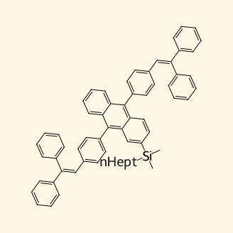 CCCCCCC[Si](C)(C)c1ccc2c(-c3ccc(C=C(c4ccccc4)c4ccccc4)cc3)c3ccccc3c(-c3ccc(C=C(c4ccccc4)c4ccccc4)cc3)c2c1